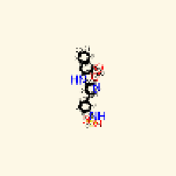 CS(=O)(=O)Nc1cccc(-c2cncc(NC(Cc3ccccc3)C3=COCO3)c2)c1